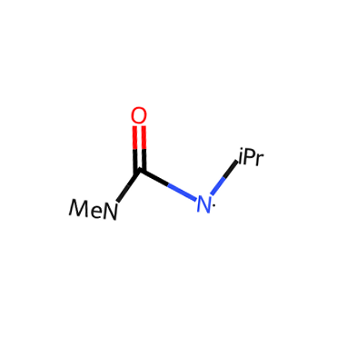 [CH2]NC(=O)[N]C(C)C